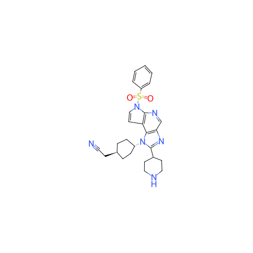 N#CC[C@H]1CC[C@H](n2c(C3CCNCC3)nc3cnc4c(ccn4S(=O)(=O)c4ccccc4)c32)CC1